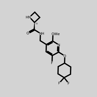 COc1nc(OC2CCC(F)(F)CC2)c(F)cc1CNC(=O)[C@@H]1CCN1